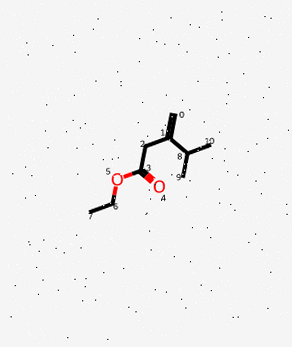 C=C(CC(=O)OCC)C(C)C